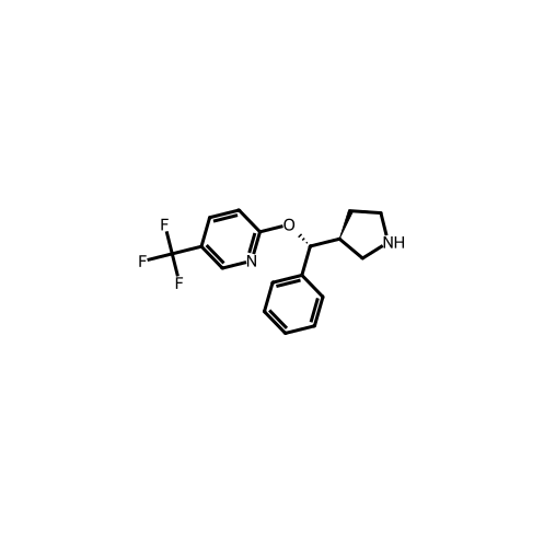 FC(F)(F)c1ccc(O[C@@H](c2ccccc2)[C@H]2CCNC2)nc1